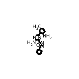 CC1C=CC(N)=C(c2cnc(N)c(-c3nnc(-c4ccccc4)o3)n2)C1